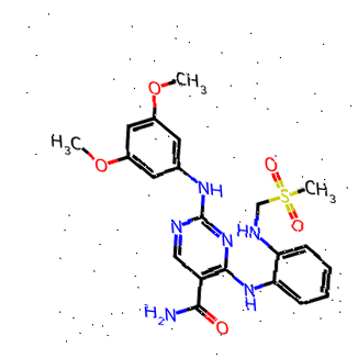 COc1cc(Nc2ncc(C(N)=O)c(Nc3ccccc3NCS(C)(=O)=O)n2)cc(OC)c1